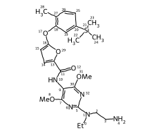 CCN(CCN)c1nc(OC)c(NC(=O)c2ccc(Oc3cc([Si](C)(C)C)ccc3C)o2)c(OC)n1